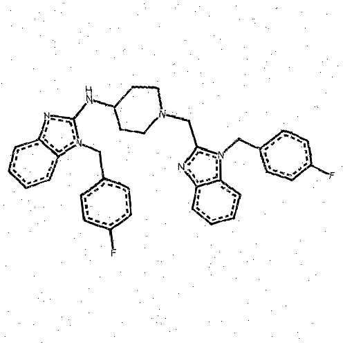 Fc1ccc(Cn2c(CN3CCC(Nc4nc5ccccc5n4Cc4ccc(F)cc4)CC3)nc3ccccc32)cc1